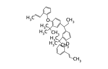 CC=Cc1ccccc1Oc1ccc(C(CC)c2ccc(Oc3ccccc3C=CC)c(C(C)(C)C)c2)cc1C(C)(C)C